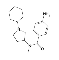 CN(C(=O)c1ccc(N)cc1)C1CCN(C2CCCCC2)C1